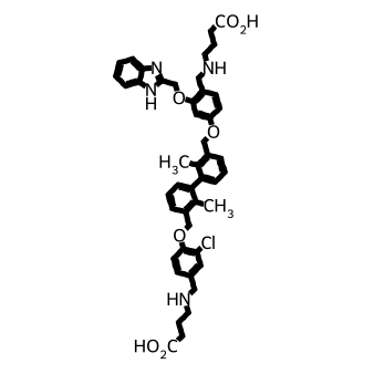 Cc1c(COc2ccc(CNCCCC(=O)O)c(OCc3nc4ccccc4[nH]3)c2)cccc1-c1cccc(COc2ccc(CNCCCC(=O)O)cc2Cl)c1C